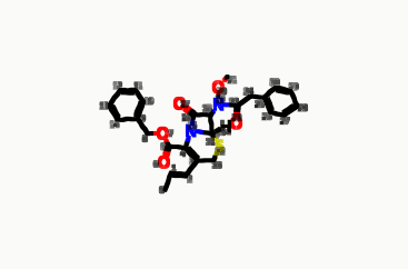 CC=CC1=C(C(=O)OCc2ccccc2)N2C(=O)C(N(OC)C(=O)Cc3ccccc3)[C@@H]2SC1